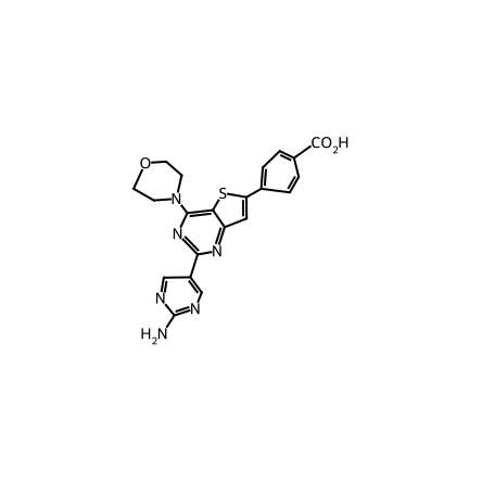 Nc1ncc(-c2nc(N3CCOCC3)c3sc(-c4ccc(C(=O)O)cc4)cc3n2)cn1